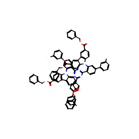 N#Cc1cccc(-c2ccc(-c3nc(-c4ccc(-c5cccc(C#N)c5)cc4-n4c5ccc(C(=O)OCc6ccccc6)cc5c5cc(C(=O)OCc6ccccc6)ccc54)nc(-c4ccc(-c5cccc(C#N)c5)cc4-n4c5ccc(C(=O)OCc6ccccc6)cc5c5cc(C(=O)OCc6ccccc6)ccc54)n3)cc2)c1